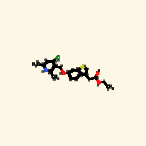 CCOC(=O)Cc1csc2cc(OCc3c(Cl)cc(C)nc3C)ccc12